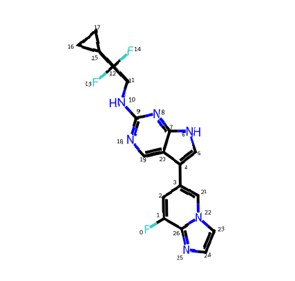 Fc1cc(-c2c[nH]c3nc(NCC(F)(F)C4CC4)ncc23)cn2ccnc12